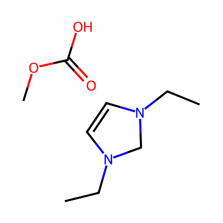 CCN1C=CN(CC)C1.COC(=O)O